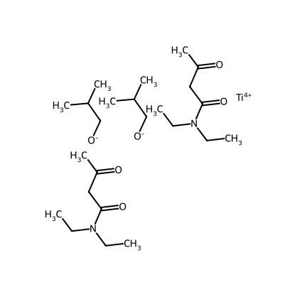 CC(C)C[O-].CC(C)C[O-].CCN(CC)C(=O)CC(C)=O.CCN(CC)C(=O)CC(C)=O.[Ti+4]